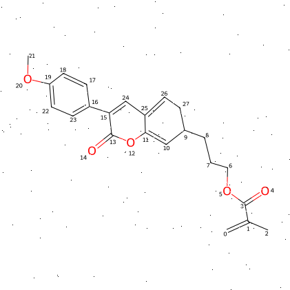 C=C(C)C(=O)OCCCC1C=c2oc(=O)c(-c3ccc(OC)cc3)cc2=CC1